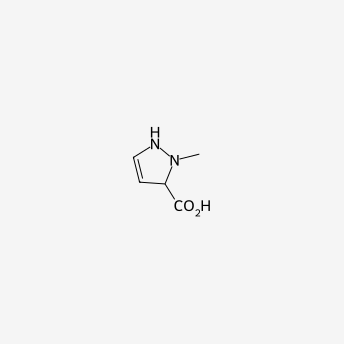 CN1NC=CC1C(=O)O